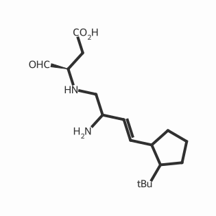 CC(C)(C)C1CCCC1C=CC(N)CN[C@@H](C=O)CC(=O)O